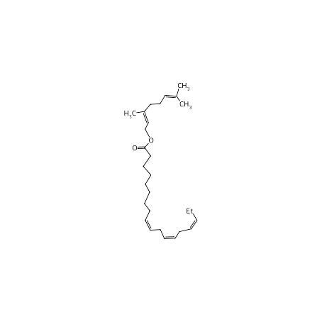 CC/C=C\C/C=C\C/C=C\CCCCCCCC(=O)OC/C=C(\C)CCC=C(C)C